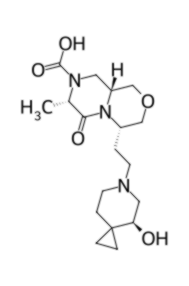 C[C@H]1C(=O)N2[C@@H](CCN3CCC4(CC4)[C@H](O)C3)COC[C@H]2CN1C(=O)O